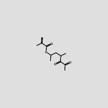 C=C(C)C(=O)OC(C)CN(C)C(=O)C(C)=O